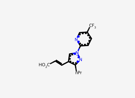 CCCc1nn(-c2ccc(C(F)(F)F)cn2)cc1C=CC(=O)O